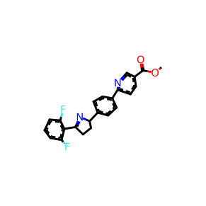 COC(=O)c1ccc(-c2ccc(C3CCC(c4c(F)cccc4F)=N3)cc2)nc1